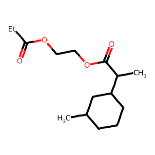 CCC(=O)OCCOC(=O)C(C)C1CCCC(C)C1